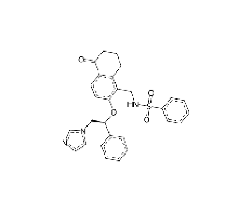 O=C1CCCc2c1ccc(O[C@H](Cn1ccnc1)c1ccccc1)c2CNS(=O)(=O)c1ccccc1